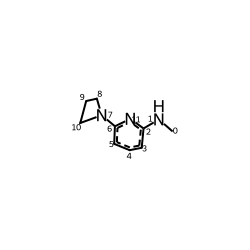 CNc1cccc(N2CCC2)n1